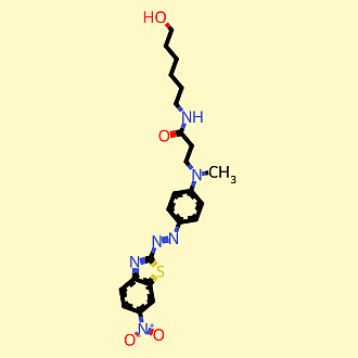 CN(CCC(=O)NCCCCCCO)c1ccc(N=Nc2nc3ccc([N+](=O)[O-])cc3s2)cc1